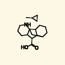 CC1CC1.O=C(O)C1C2C3CCCC2C2(C3)NCCCC12